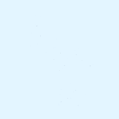 CCC(CC)(c1ccc(OS(C)(=O)=O)c(C)c1)c1cc(C)c(CCC(=O)C(C)(C)C)s1